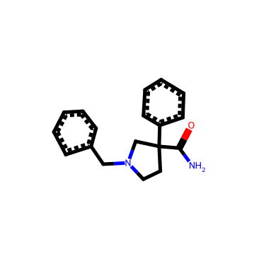 NC(=O)C1(c2ccccc2)CCN(Cc2ccccc2)C1